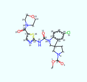 COC(=O)N1CCC2(C1)CN(C(=O)Nc1ncc(C(=O)N3CCOCC3)s1)c1ccc(Cl)cc12